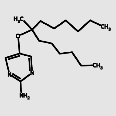 CCCCCCC(C)(CCCCCC)Oc1cnc(N)nc1